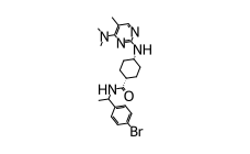 Cc1cnc(N[C@H]2CC[C@@H](C(=O)NC(C)c3ccc(Br)cc3)CC2)nc1N(C)C